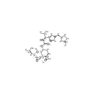 CO[C@@H]1[C@H](OC(=O)N[C@H](c2cn(C[C@H]3CCN(C)C3)cn2)C(C)C)CC[C@]2(CO2)[C@H]1[C@@]1(C)O[C@@H]1CC=C(C)C